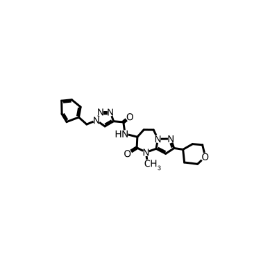 CN1C(=O)C(NC(=O)c2cn(Cc3ccccc3)nn2)CCn2nc(C3CCOCC3)cc21